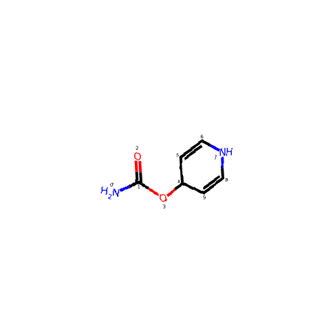 NC(=O)OC1C=CNC=C1